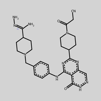 N#CCC(=O)N1CCC(c2nc(Nc3ccc(CN4CCC(/C(N)=N/N)CC4)cc3)c3c(=O)[nH]ncc3n2)CC1